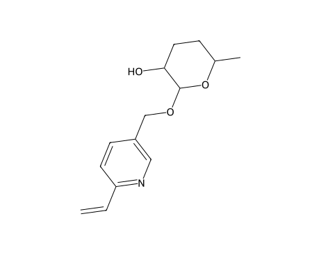 C=Cc1ccc(COC2OC(C)CCC2O)cn1